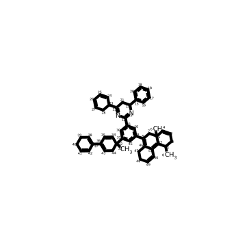 CC1CC=CC2(C)CC(c3cc(C4=NC(c5ccccc5)CC(C5C=CC=CC5)=N4)cc(C4(C)C=CC(C5=CCCC=C5)=CC4)c3)=C3CCC=CC3=C12